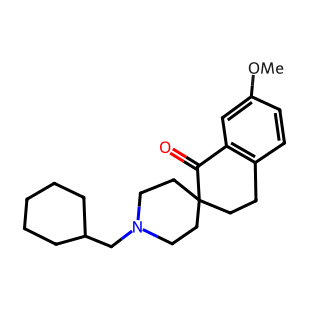 COc1ccc2c(c1)C(=O)C1(CC2)CCN(CC2CCCCC2)CC1